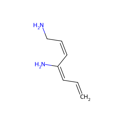 C=C/C=C(N)\C=C/CN